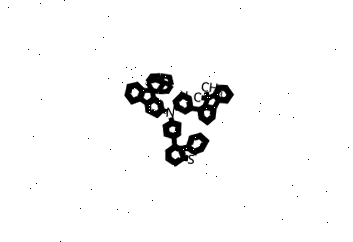 CC1(C)c2ccccc2-c2cccc(-c3cccc(N(c4ccc(-c5cccc6sc7ccccc7c56)cc4)c4ccc5c(c4)C4(c6ccccc6-5)C5CC6CC(C5)CC4C6)c3)c21